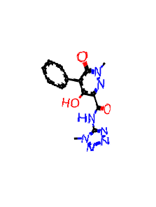 Cn1nnnc1NC(=O)c1nn(C)c(=O)c(-c2ccccc2)c1O